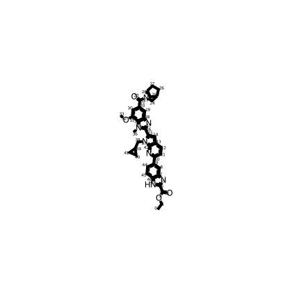 CCOC(=O)c1nc2cc(-c3ccc4cc(-c5nc6cc(C(=O)N7CC8CCC7C8)cc(OC)c6n5C)n(CC5CC5)c4n3)ccc2[nH]1